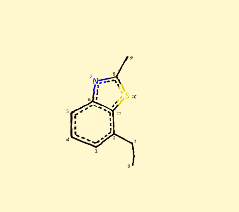 CCc1cccc2nc(C)sc12